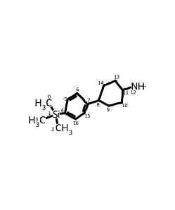 C[Si](C)(C)c1ccc(C2CCC([NH])CC2)cc1